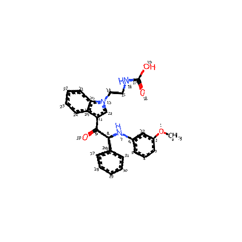 COc1cccc(NC(C(=O)c2cn(CCNC(=O)O)c3ccccc23)c2ccccc2)c1